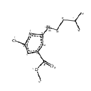 COC(=O)c1cc(Cl)nc(NCCC(C)C)c1